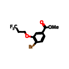 COC(=O)c1ccc(Br)c(OCCC(F)(F)F)c1